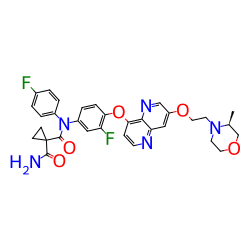 C[C@H]1COCCN1CCOc1cnc2c(Oc3ccc(N(C(=O)C4(C(N)=O)CC4)c4ccc(F)cc4)cc3F)ccnc2c1